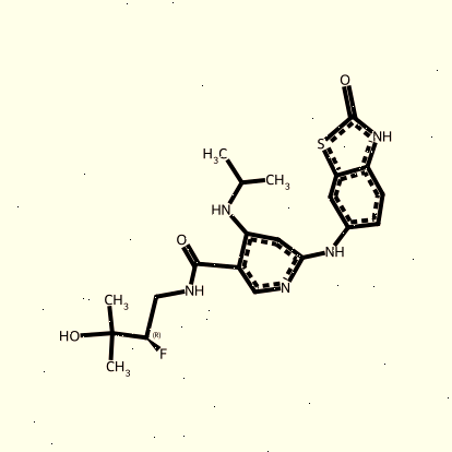 CC(C)Nc1cc(Nc2ccc3[nH]c(=O)sc3c2)ncc1C(=O)NC[C@@H](F)C(C)(C)O